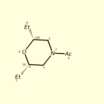 CC[C@@H]1CN(C(C)=O)C[C@H](CC)O1